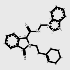 O=C(NCn1nnc2ccccc21)C1c2ccccc2C(=O)N1CCC1=CCCCC1